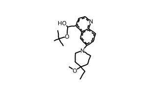 CCC1(OC)CCN(c2ccc3nccc(C(O)OC(C)(C)C)c3c2)CC1